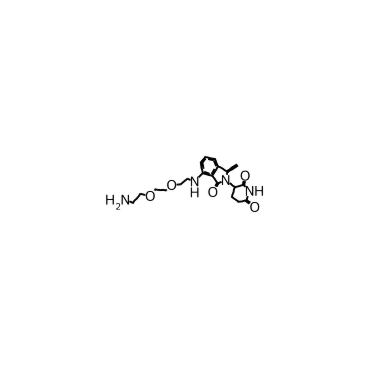 C=C1c2cccc(NCCOCCOCCN)c2C(=O)N1C1CCC(=O)NC1=O